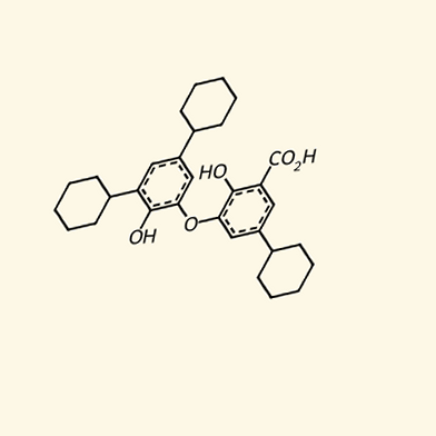 O=C(O)c1cc(C2CCCCC2)cc(Oc2cc(C3CCCCC3)cc(C3CCCCC3)c2O)c1O